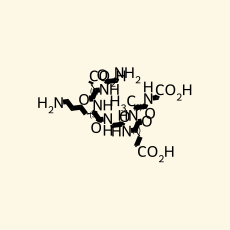 C[C@H](NC(=O)[C@H](CCC(=O)O)NC(=O)CNC(=O)[C@H](CCCCN)NC(=O)[C@H](CC(=O)O)NC(=O)CN)C(=O)NCC(=O)O